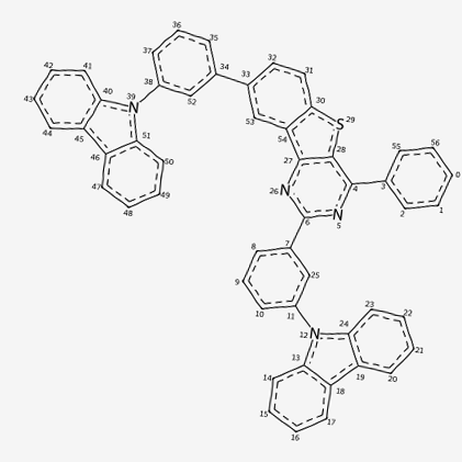 c1ccc(-c2nc(-c3cccc(-n4c5ccccc5c5ccccc54)c3)nc3c2sc2ccc(-c4cccc(-n5c6ccccc6c6ccccc65)c4)cc23)cc1